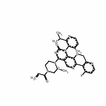 C=CC(=O)N1CCN(c2nc(=O)n(-c3c(C)ccnc3C(C)C)c3c4c(ncc23)-c2c(F)ccnc2CO4)[C@@H](C)C1